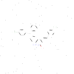 O=c1cc(C=Cc2ccc(Cl)cc2)c2cc(C(c3ccccc3)c3ccc(Cl)cc3)ccc2[nH]1